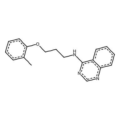 Cc1ccccc1OCCCNc1ncnc2ccccc12